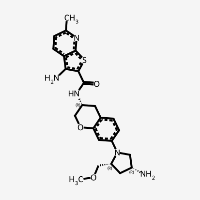 COC[C@H]1C[C@@H](N)CN1c1ccc2c(c1)OC[C@H](NC(=O)c1sc3nc(C)ccc3c1N)C2